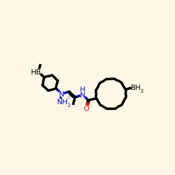 BC1CCCCCC(C(=O)N/C(C)=C/N(N)C2CCC(BC)CC2)CCCCC1